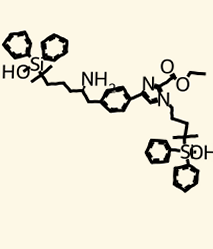 CCOC(=O)c1nc(-c2ccc(C[C@H](N)CCCC(C)(C)[Si](O)(c3ccccc3)c3ccccc3)cc2)cn1CCCC(C)(C)[Si](O)(c1ccccc1)c1ccccc1